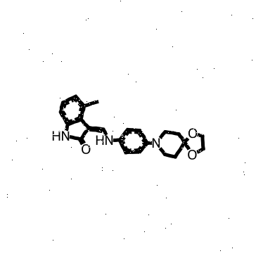 Cc1cccc2c1C(=CNc1ccc(N3CCC4(CC3)OCCO4)cc1)C(=O)N2